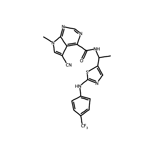 CC(NC(=O)c1ncnc2c1c(C#N)cn2C)c1cnc(Nc2ccc(C(F)(F)F)cc2)s1